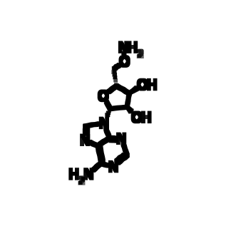 NOC[C@H]1O[C@@H](n2cnc3c(N)ncnc32)[C@H](O)[C@@H]1O